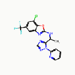 C[C@H](Nc1nc2cc(C(F)(F)F)cc(Cl)c2o1)c1ncnn1-c1ccccn1